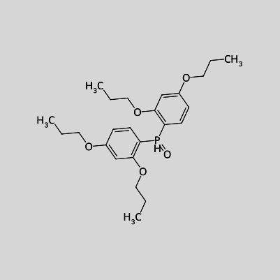 CCCOc1ccc([PH](=O)c2ccc(OCCC)cc2OCCC)c(OCCC)c1